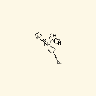 CCC(/C(=N\OCc1nccs1)c1ccc(C#CC2CC2)cc1)n1ccnc1